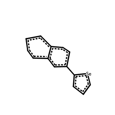 c1c[se]c(-c2ccc3ccccc3c2)c1